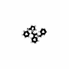 c1ccc(Cn2cc(CN3CCC/C3=N/c3ccccc3)c3ccccc32)cc1